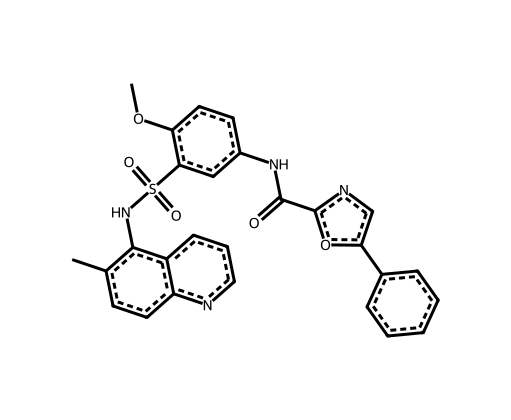 COc1ccc(NC(=O)c2ncc(-c3ccccc3)o2)cc1S(=O)(=O)Nc1c(C)ccc2ncccc12